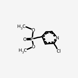 COP(=O)(OC)c1ccnc(Cl)c1